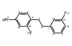 CCCc1ccc(CCc2cccc(F)c2)c(F)c1